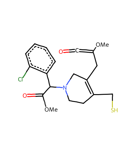 COC(=O)C(c1ccccc1Cl)N1CCC(CS)=C(CC(=C=O)OC)C1